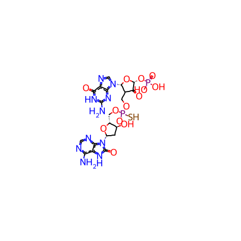 Nc1nc2c(ncn2[C@@H]2O[C@H](OP(=O)(O)O)C(=O)C2COP(=O)(S)OC[C@H]2O[C@@H](n3c(=O)[nH]c4c(N)ncnc43)C[C@@H]2O)c(=O)[nH]1